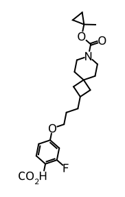 CC1(OC(=O)N2CCC3(CC2)CC(CCCOc2ccc(C(=O)O)c(F)c2)C3)CC1